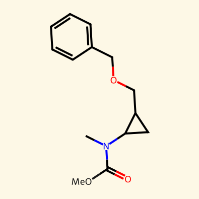 COC(=O)N(C)C1CC1COCc1ccccc1